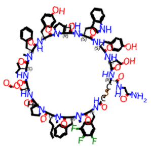 CCCC[C@H]1C(=O)N2CCC[C@@H]2C(=O)N[C@@H](COC=O)C(=O)N[C@@H](C(C)C)C(=O)N(C)[C@@H](Cc2ccccc2)C(=O)N[C@@H](Cc2ccc(O)cc2)C(=O)N2CCC[C@@H]2C(=O)N[C@@H](Cc2c[nH]c3ccccc23)C(=O)N[C@@H](Cc2ccc(O)cc2)C(=O)N[C@@H](CCO)C(=O)N[C@H](C(=O)NCC(N)=O)CSCC(=O)N[C@@H](Cc2cc(F)c(F)c(F)c2)C(=O)N(C)[C@@H](Cc2ccccc2)C(=O)N1C